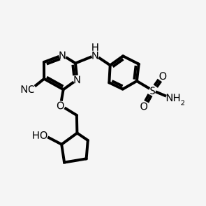 N#Cc1cnc(Nc2ccc(S(N)(=O)=O)cc2)nc1OCC1CCCC1O